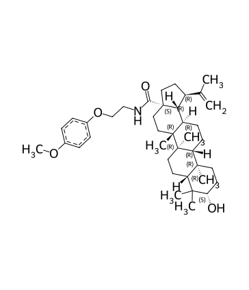 C=C(C)[C@@H]1CC[C@]2(C(=O)NCCOc3ccc(OC)cc3)CC[C@]3(C)[C@H](CC[C@@H]4[C@@]5(C)CC[C@H](O)C(C)(C)[C@@H]5CC[C@]43C)[C@@H]12